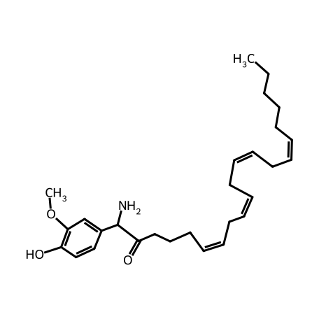 CCCCC/C=C\C/C=C\C/C=C\C/C=C\CCCC(=O)C(N)c1ccc(O)c(OC)c1